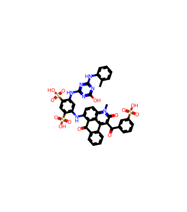 Cc1ccccc1Nc1nc(O)nc(Nc2cc(Nc3ccc4c5c3C(=O)c3ccccc3-c5c(C(=O)c3cccc(S(=O)(=O)O)c3)c(=O)n4C)c(S(=O)(=O)O)cc2S(=O)(=O)O)n1